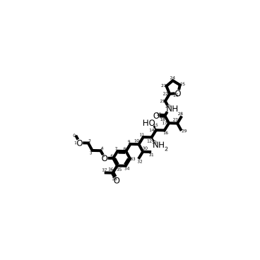 COCCCOc1cc(CC(C[C@H](N)[C@@H](O)CC(C(=O)NCC2CCCO2)C(C)C)C(C)C)ccc1C(C)=O